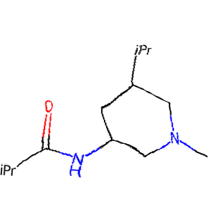 CC(C)C(=O)NC1CC(C(C)C)CN(C)C1